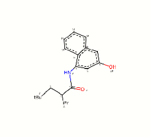 CC(C)C(CC(C)(C)C)C(=O)Nc1cc(O)cc2ccccc12